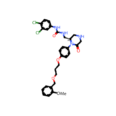 COc1ccccc1COCCCOc1ccc(N2C(=O)CNC[C@@H]2CNC(=O)Nc2ccc(Cl)c(Cl)c2)cc1